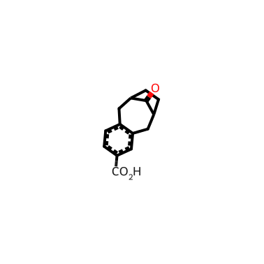 O=C(O)c1ccc2c(c1)CC1CCC(C2)C1=O